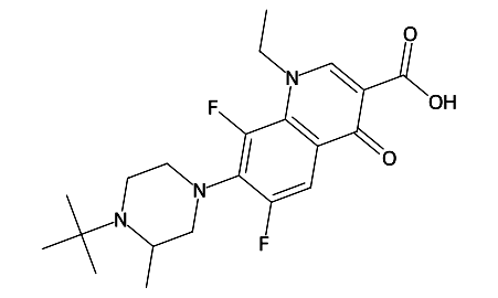 CCn1cc(C(=O)O)c(=O)c2cc(F)c(N3CCN(C(C)(C)C)C(C)C3)c(F)c21